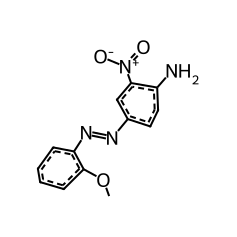 COc1ccccc1N=Nc1ccc(N)c([N+](=O)[O-])c1